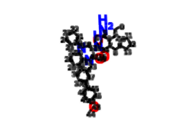 CCC[C@H](C(N)=O)[C@@H](CC1CCCC1)C(=O)NC1CN(c2ccccc2)c2ccccc2N(Cc2cccc(-c3ccc(OC)cc3)c2)C1=O